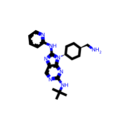 CC(C)(C)Nc1ncc2nc(Nc3ccccn3)n([C@H]3CC[C@H](CN)CC3)c2n1